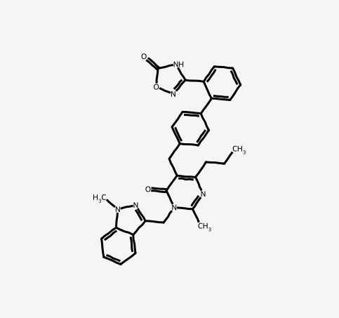 CCCc1nc(C)n(Cc2nn(C)c3ccccc23)c(=O)c1Cc1ccc(-c2ccccc2-c2noc(=O)[nH]2)cc1